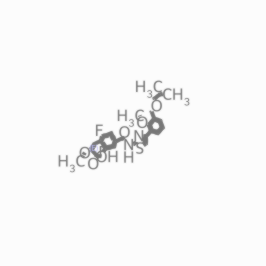 CO/C(=C/c1c(F)cc(C(=O)Nc2nc(-c3cccc(COCC(C)C)c3OC)cs2)cc1F)C(=O)O